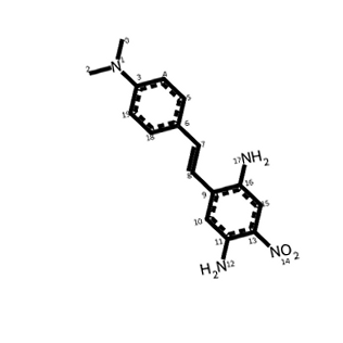 CN(C)c1ccc(C=Cc2cc(N)c([N+](=O)[O-])cc2N)cc1